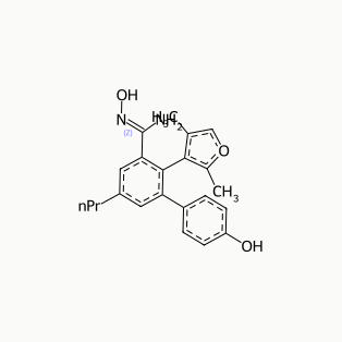 CCCc1cc(/C(N)=N/O)c(-c2c(C)coc2C)c(-c2ccc(O)cc2)c1